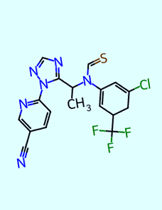 CC(c1ncnn1-c1ccc(C#N)cn1)N(C=S)C1=CC(C(F)(F)F)CC(Cl)=C1